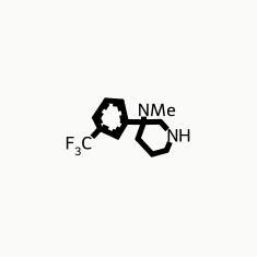 CNC1(c2cccc(C(F)(F)F)c2)CCCNC1